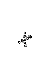 c1ccc(-c2cnc(-c3cc(-c4ncc(-c5ccccc5)cn4)c(-c4ccc(-c5ccccn5)cc4)cc3-c3ccc(-c4ccccn4)cc3)nc2)cc1